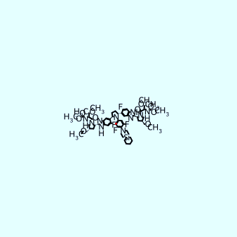 COC[C@H]1C[C@@H](c2nc3cc([C@H]4CC[C@H](c5cc6nc([C@@H]7C[C@H](COC)CN7C(=O)[C@@H](NC(=O)OC)[C@@H](C)OC)[nH]c6cc5F)N4c4cc(F)c(N5CC[Si]6(CCCCC6)CC5)c(F)c4)c(F)cc3[nH]2)N(C(=O)[C@@H](NC(=O)OC)[C@@H](C)OC)C1